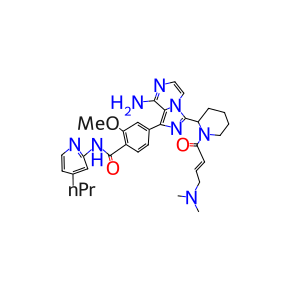 CCCc1ccnc(NC(=O)c2ccc(-c3nc(C4CCCCN4C(=O)/C=C/CN(C)C)n4ccnc(N)c34)cc2OC)c1